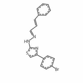 Brc1ccc(-c2csc(NN=CC=Cc3ccccc3)n2)cc1